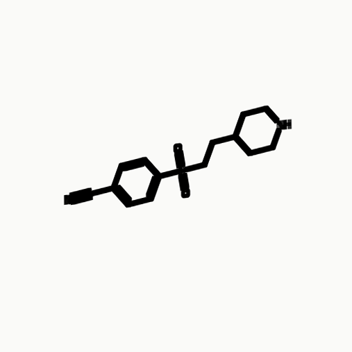 N#Cc1ccc(S(=O)(=O)CCC2CCNCC2)cc1